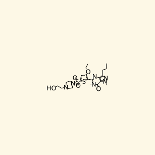 CCCc1nn(C)c2c1N=C(c1sc(S(=O)(=O)N3CCN(CCO)CC3)cc1OCC)[N]C2=O